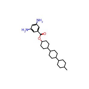 CC1CCC(C2CCC(C3CCC(OC(=O)c4cc(N)cc(N)c4)CC3)CC2)CC1